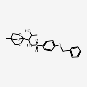 CC(O)C(NS(=O)(=O)c1ccc(OCc2ccccc2)cc1)C12OCC(C)(CO1)CO2